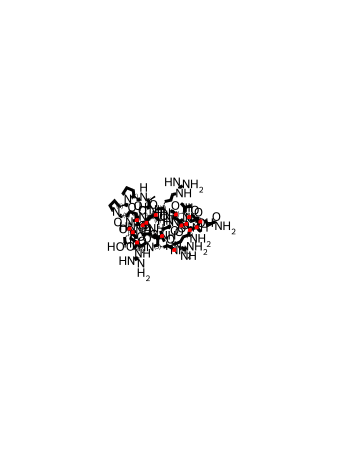 CC(C)C[C@H](NC(=O)[C@H](C)NC(=O)[C@H](CCCNC(=N)N)NC(=O)[C@H](CC(C)C)NC(=O)[C@H](CC(C)C)NC(=O)[C@H](CCC(N)=O)NC(=O)[C@@H](N)CCC(N)=O)C(=O)N[C@@H](CCCNC(=N)N)C(=O)N1CCC[C@H]1C(=O)N1CCC[C@H]1C(=O)N1CCC[C@H]1C(=O)N[C@@H](C)C(=O)N[C@H](C(=O)N[C@@H](C)C(=O)N[C@@H](CC(=O)O)C(=O)N[C@@H](C)C(=O)N[C@@H](CCCNC(=N)N)C(=O)NCC(=O)N[C@@H](C)C(=O)NCC(=O)O)[C@@H](C)O